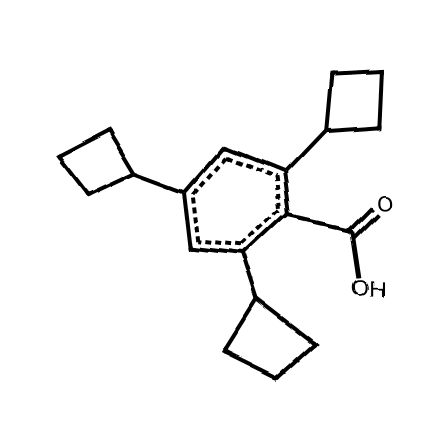 O=C(O)c1c(C2CCC2)cc(C2CCC2)cc1C1CCC1